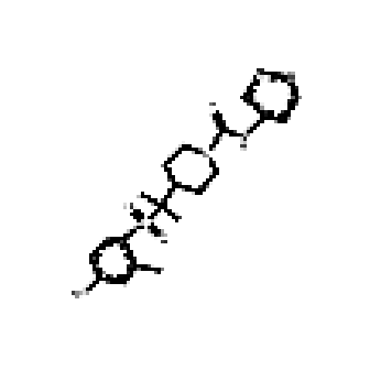 Cc1cc(C#N)ccc1S(=O)(=O)C(C)(C)C1CCN(C(=O)Nc2ccnnc2)CC1